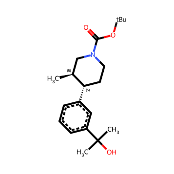 C[C@H]1CN(C(=O)OC(C)(C)C)CC[C@@H]1c1cccc(C(C)(C)O)c1